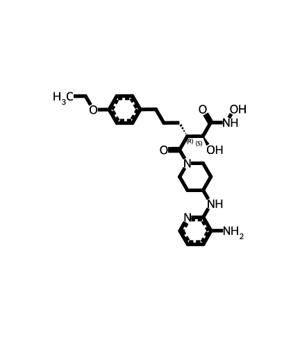 CCOc1ccc(CCC[C@@H](C(=O)N2CCC(Nc3ncccc3N)CC2)[C@H](O)C(=O)NO)cc1